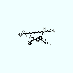 CCCCNC(=O)CCCCCCCCCCCCC(N)=O.CCCN(CCc1cccs1)[C@@H]1CCc2c(cccc2OC(=O)CC)C1